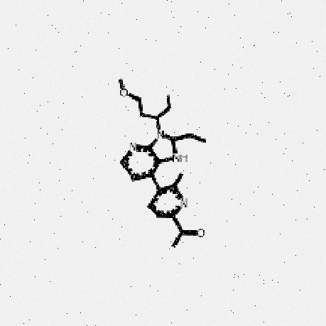 CCC(CCOC)N1c2nccc(-c3ccc(C(C)=O)nc3C)c2NC1CC